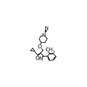 Cc1ccccc1-c1noc(C2CC2)c1COC1CCN(C#N)CC1